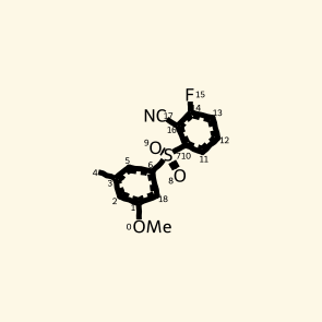 COc1cc(C)cc(S(=O)(=O)c2cccc(F)c2C#N)c1